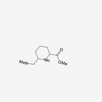 CNCC1CCCC(C(=O)OC)N1